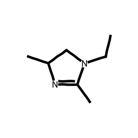 CCN1CC(C)N=C1C